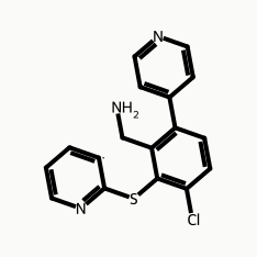 NCc1c(-c2ccncc2)ccc(Cl)c1Sc1[c]cccn1